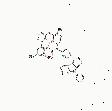 CC(C)(C)c1ccc(N(c2ccc(-c3cccc4c3c3ccccc3n4C3=CCCC=C3)cc2)c2ccccc2-c2cccc3cccc(-c4cc(C(C)(C)C)cc(C(C)(C)C)c4)c23)cc1